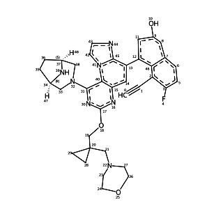 C#Cc1c(F)ccc2cc(O)cc(-c3cc4nc(OCC5(CN6CCOCC6)CC5)nc(N5C[C@H]6CC[C@@H](C5)N6)c4n4ccnc34)c12